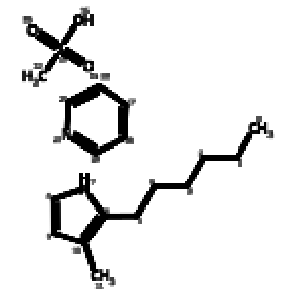 CCCCCCc1[nH]ccc1C.CS(=O)(=O)O.c1ccncc1